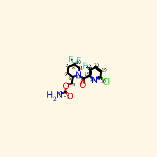 NC(=O)OCC1CCC(F)(F)CN1C(=O)c1nc(Cl)ccc1F